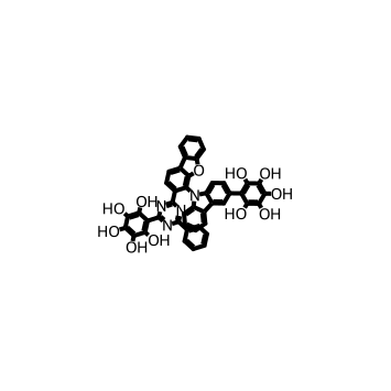 Oc1c(O)c(O)c(-c2ccc3c(c2)c2ccccc2n3-c2c(-c3nc(-c4ccccc4)nc(-c4c(O)c(O)c(O)c(O)c4O)n3)ccc3c2oc2ccccc23)c(O)c1O